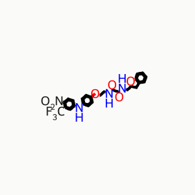 O=C(NCCOc1ccc(Nc2ccc([N+](=O)[O-])c(C(F)(F)F)c2)cc1)C(=O)NCC1Cc2ccccc2O1